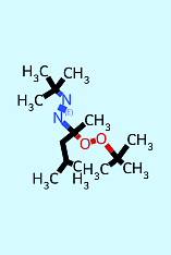 CC(C)CC(C)(/N=N/C(C)(C)C)OOC(C)(C)C